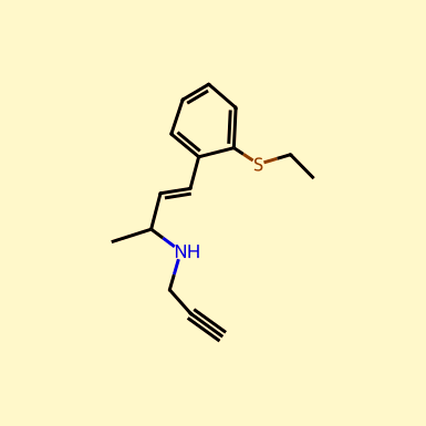 C#CCNC(C)/C=C/c1ccccc1SCC